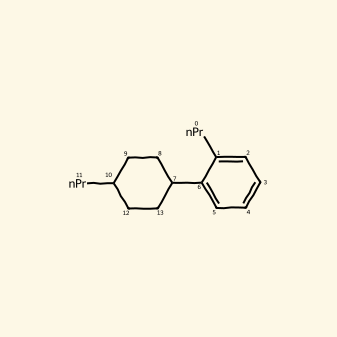 CCCc1ccccc1C1CCC(CCC)CC1